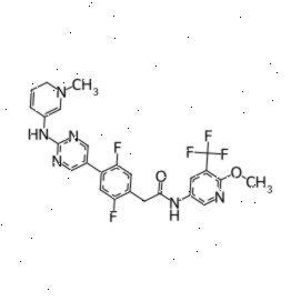 COc1ncc(NC(=O)Cc2cc(F)c(-c3cnc(NC4=CN(C)CC=C4)nc3)cc2F)cc1C(F)(F)F